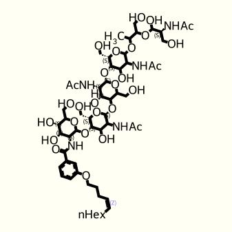 CCCCCC/C=C\CCCOc1cccc(C(=O)N[C@@H]2C(O[C@H]3C(O)C(NC(C)=O)[C@H](OC4C(CO)O[C@@H](O[C@H]5C(O)C(NC(C)=O)C(OC(C)C(CO)OC(O)[C@H](CO)NC(C)=O)O[C@H]5CO)[C@@H](NC(C)=O)[C@H]4O)O[C@H]3CO)OC(CO)[C@@H](O)[C@@H]2O)c1